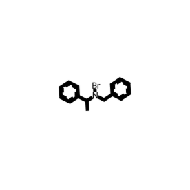 CC(c1ccccc1)N(Br)Cc1ccccc1